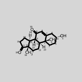 C[C@]12CC[C@@H](O)CC1=CC(=O)[C@@H]1[C@@H]2CC[C@]2(C)C(=O)CC[C@@H]12